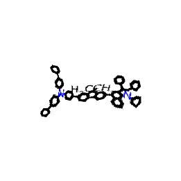 CC1(C)c2cc(-c3ccc(N(c4ccc(-c5ccccc5)cc4)c4ccc(-c5ccccc5)cc4)cc3)ccc2-c2ccc(-c3cc4c(-c5ccccc5)c(-c5ccccc5)n(-c5ccccc5)c4c4ccccc34)cc21